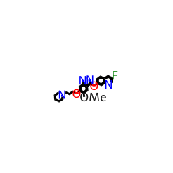 COc1cc2c(Oc3ccc4cc(F)cnc4c3)ncnc2cc1OCCCN1CCCCC1